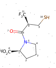 O=C(O)[C@@H]1CCCN1C(=O)[C@H](CS)C(F)(F)F